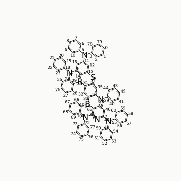 c1ccc(N(c2ccccc2)c2cc3c4c(c2)N(c2ccccc2)c2ccccc2B4c2cc4c(cc2S3)N(c2ccccc2)c2cc(N(c3ccccc3)c3ccccc3)nc3c2B4c2ccccc2N3c2ccccc2)cc1